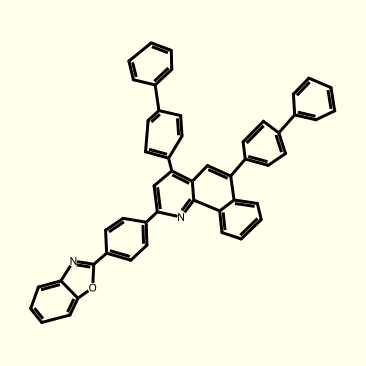 c1ccc(-c2ccc(-c3cc4c(-c5ccc(-c6ccccc6)cc5)cc(-c5ccc(-c6nc7ccccc7o6)cc5)nc4c4ccccc34)cc2)cc1